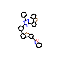 c1ccc(-c2nc(-c3cccc(-c4cccc5c4sc4ccc(-c6nc7ccccc7o6)cc45)c3)nc(-c3cccc4sc5ccccc5c34)n2)cc1